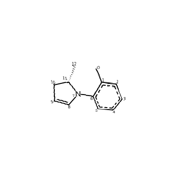 Cc1ccccc1N1C=CC[C@@H]1C